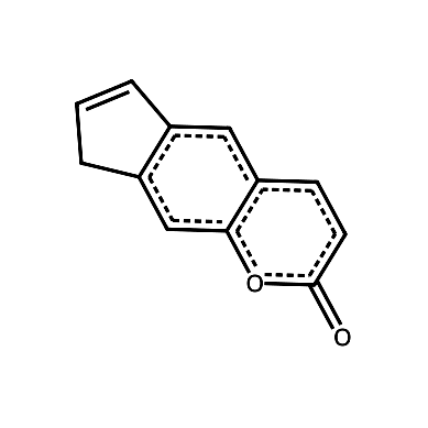 O=c1ccc2cc3c(cc2o1)CC=C3